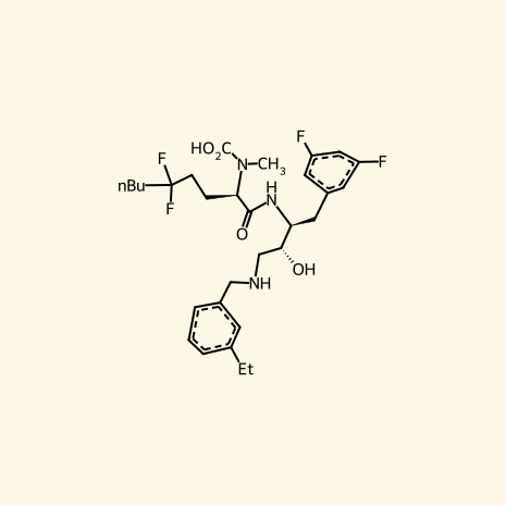 CCCCC(F)(F)CC[C@H](C(=O)N[C@@H](Cc1cc(F)cc(F)c1)[C@H](O)CNCc1cccc(CC)c1)N(C)C(=O)O